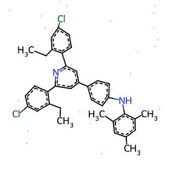 CCc1cc(Cl)ccc1-c1cc(-c2ccc(Nc3c(C)cc(C)cc3C)cc2)cc(-c2ccc(Cl)cc2CC)n1